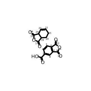 O=C(O)c1ccc2c(c1)C(=O)OC2=O.O=C1OC(=O)C2CCC=CC12